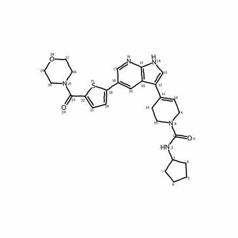 O=C(NC1CCCC1)N1CC=C(c2c[nH]c3ncc(-c4ccc(C(=O)N5CCOCC5)s4)cc23)CC1